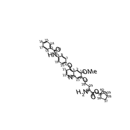 COc1cc2c(Oc3ccc(NC(=O)c4ccccc4)cc3)ccnc2cc1OCCC(N)C(=O)OC12CCC(CC1)C2